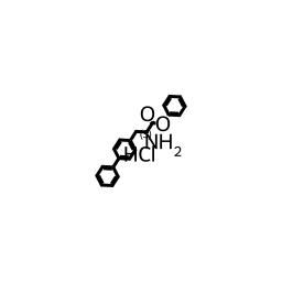 Cl.N[C@@H](Cc1ccc(-c2ccccc2)cc1)C(=O)Oc1ccccc1